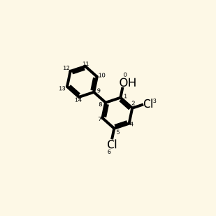 Oc1c(Cl)cc(Cl)cc1-c1ccccc1